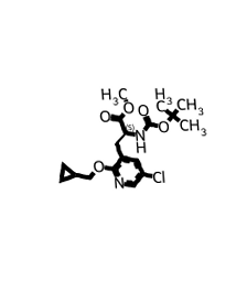 COC(=O)[C@H](Cc1cc(Cl)cnc1OCC1CC1)NC(=O)OC(C)(C)C